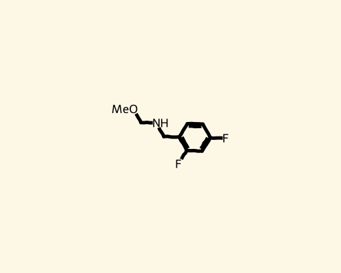 COCNCc1ccc(F)cc1F